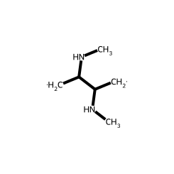 [CH2]C(NC)C([CH2])NC